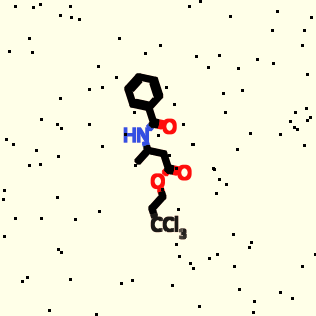 CC(CC(=O)OCCC(Cl)(Cl)Cl)NC(=O)c1ccccc1